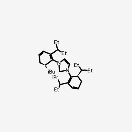 CCC(CC)C1=C(N2C=CN(C3=C(C(CC)C(C)C)C=CC[C@@H]3C(CC)CC)C2)[C@@H]([C@@H](C)CC)CC=C1